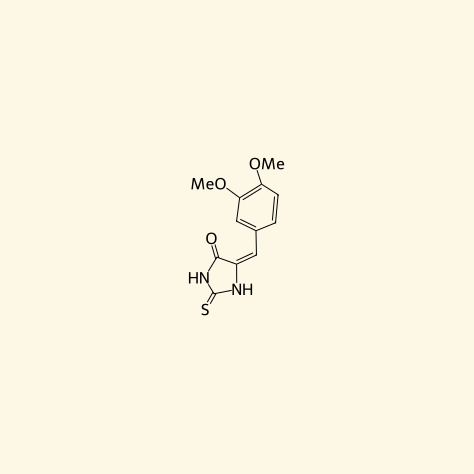 COc1ccc(C=C2NC(=S)NC2=O)cc1OC